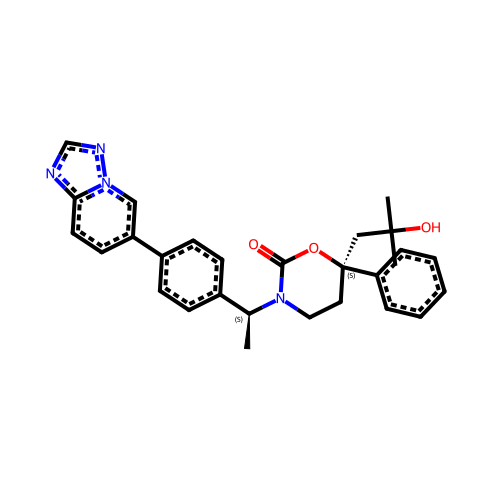 C[C@@H](c1ccc(-c2ccc3ncnn3c2)cc1)N1CC[C@](CC(C)(C)O)(c2ccccc2)OC1=O